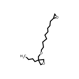 CCCCC1(COCCCCCCCCCC2CO2)COC1